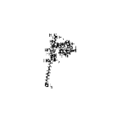 CC(C)=CCNc1ncnc2c1ncn2[C@@H]1O[C@H](CO)[C@@H](O)[C@H]1O.CCC1(c2ccncc2)CCC(=O)NC1=O.CCCCCCCCCCCCCCC[C@H](O)[C@@H](N)CO.Cl.NC(=O)c1n[nH]c([C@@H]2O[C@H](CO)[C@@H](O)[C@H]2O)c1O.[Cl-].[H+]